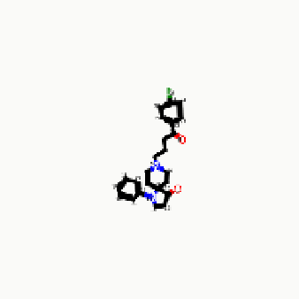 O=C(CCCN1CCC2(CC1)C(=O)CCN2c1ccccc1)c1ccc(F)cc1